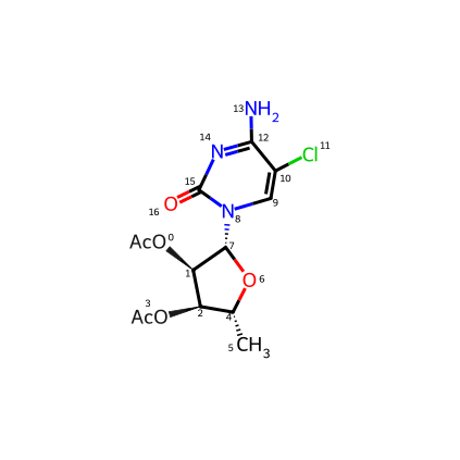 CC(=O)O[C@@H]1[C@H](OC(C)=O)[C@@H](C)O[C@H]1n1cc(Cl)c(N)nc1=O